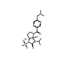 CC(C)[C@H]1C(=O)N(S(C)(=O)=O)[C@H]2CCN(C(=O)c3cnc(CN(C)C)cn3)[C@H]12